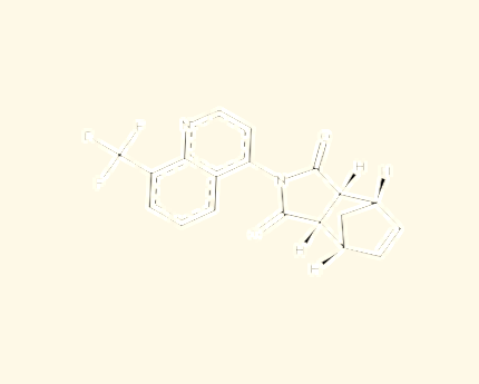 O=C1[C@@H]2[C@H](C(=O)N1c1ccnc3c(C(F)(F)F)cccc13)[C@@H]1C=C[C@H]2C1